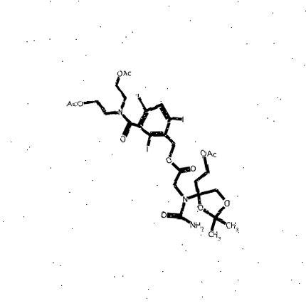 CC(=O)OCCN(CCOC(C)=O)C(=O)c1c(I)cc(I)c(COC(=O)CN(C(N)=O)C2(CCOC(C)=O)COC(C)(C)O2)c1I